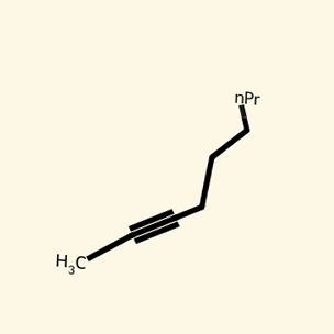 CC#CCCCCCC